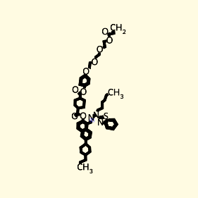 C=CC(=O)OCCOCCOCCOc1ccc(OC(=O)C2CCC(C(=O)Oc3ccc4cc(C5CCC(CCC)CC5)ccc4c3/C=N/N(CCCCCC)c3nc4ccccc4s3)CC2)cc1